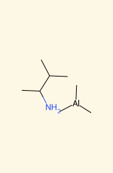 CC(C)C(C)N.[CH3][Al]([CH3])[CH3]